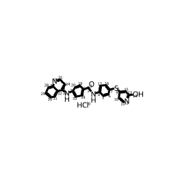 Cl.O=C(Nc1ccc(Sc2ccnc(O)c2)cc1)c1ccc(Nc2ccnc3ccccc23)cc1